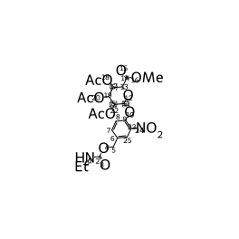 CCNC(=O)OCc1ccc(O[C@@H]2OC(C(=O)OC)[C@@H](OC(C)=O)C(OC(C)=O)[C@@H]2OC(C)=O)c([N+](=O)[O-])c1